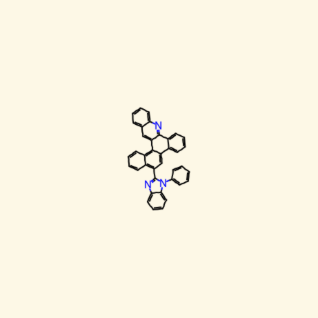 c1ccc(-n2c(-c3cc4c5ccccc5c5nc6ccccc6cc5c4c4ccccc34)nc3ccccc32)cc1